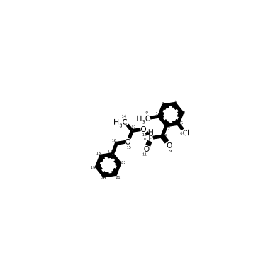 Cc1cccc(Cl)c1C(=O)[PH](=O)OC(C)OCc1ccccc1